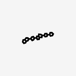 c1ccc(-c2ccc(-c3ccc4cc(-c5ccc(-c6ccc7ccccc7c6)cc5)ccc4c3)cc2)cc1